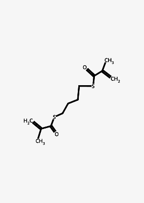 C=C(C)C(=O)SCCCCSC(=O)C(=C)C